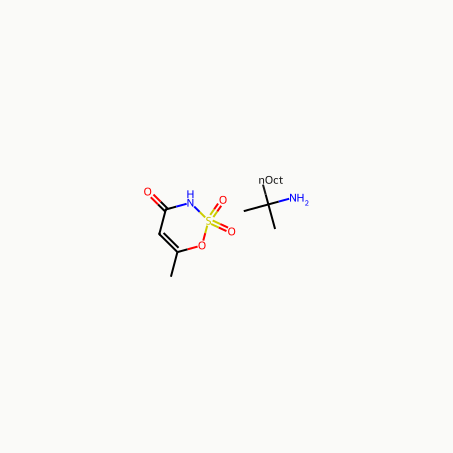 CC1=CC(=O)NS(=O)(=O)O1.CCCCCCCCC(C)(C)N